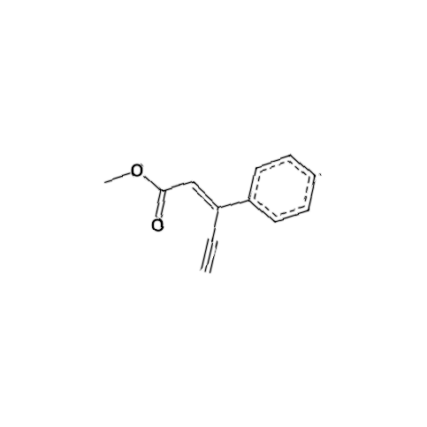 C#CC(=CC(=O)OC)c1cc[c]cc1